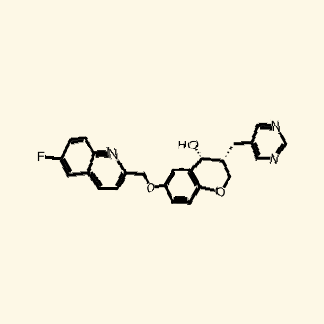 O[C@H]1c2cc(OCc3ccc4cc(F)ccc4n3)ccc2OC[C@H]1Cc1cncnc1